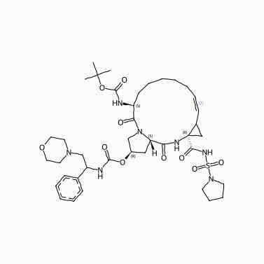 CC(C)(C)OC(=O)N[C@H]1CCCCC/C=C\C2C[C@@]2(C(=O)NS(=O)(=O)N2CCCC2)NC(=O)[C@@H]2C[C@@H](OC(=O)NC(CN3CCOCC3)c3ccccc3)CN2C1=O